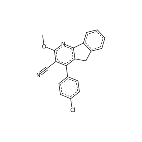 COc1nc2c(c(-c3ccc(Cl)cc3)c1C#N)Cc1ccccc1-2